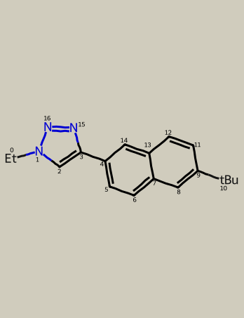 CCn1cc(-c2ccc3cc(C(C)(C)C)ccc3c2)nn1